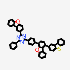 c1ccc(-c2nc(-c3ccc(-c4ccc(-c5ccc6sc7ccccc7c6c5)c5c4oc4ccccc45)cc3)nc(-c3ccc4oc5ccccc5c4c3)n2)cc1